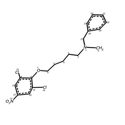 CN(CCCCCOc1c(Cl)cc([N+](=O)[O-])cc1Cl)Cc1ccccc1